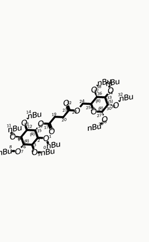 CCCCOC1C(OCCCC)[C@@H](OCCCC)[C@@H](OCCCC)C(OCCCC)[C@@H]1OC(=O)CCC(=O)OCC1O[C@@H](OCCCC)[C@@H](OCCCC)C(OCCCC)[C@@H]1OCCCC